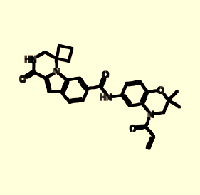 C=CC(=O)N1CC(C)(C)Oc2ccc(NC(=O)c3ccc4cc5n(c4c3)C3(CCC3)CNC5=O)cc21